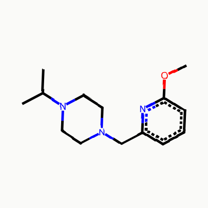 COc1cccc(CN2CCN(C(C)C)CC2)n1